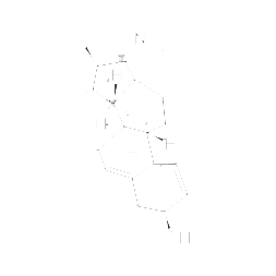 C[C@]12CC[C@H]3[C@@H](CC=C4C[C@H](O)C=C[C@@H]43)[C@@H]1C[C@@H](F)[C@@H]2N